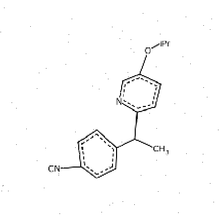 [C-]#[N+]c1ccc(C(C)c2ccc(OC(C)C)cn2)cc1